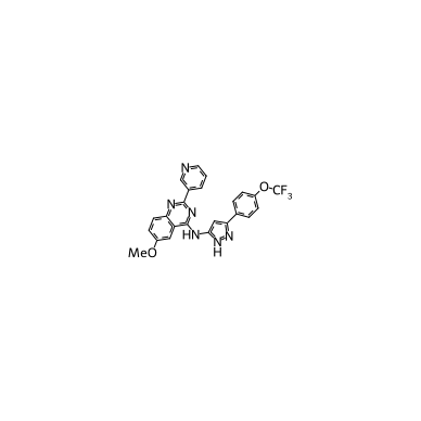 COc1ccc2nc(-c3cccnc3)nc(Nc3cc(-c4ccc(OC(F)(F)F)cc4)n[nH]3)c2c1